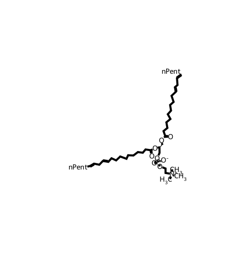 CCCCC/C=C/C/C=C/CCCCCCCCCC(=O)OC[C@H](COP(=O)([O-])OCC[N+](C)(C)C)OC(=O)CCCCCCCCC/C=C/C/C=C/CCCCC